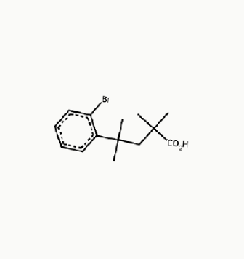 CC(C)(CC(C)(C)c1ccccc1Br)C(=O)O